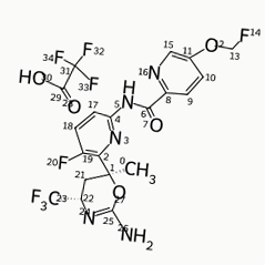 C[C@@]1(c2nc(NC(=O)c3ccc(OCF)cn3)ccc2F)C[C@@H](C(F)(F)F)N=C(N)O1.O=C(O)C(F)(F)F